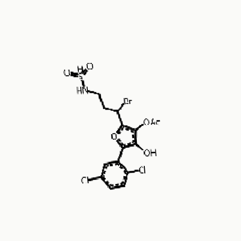 CC(=O)Oc1c(C(Br)CCN[SH](=O)=O)oc(-c2cc(Cl)ccc2Cl)c1O